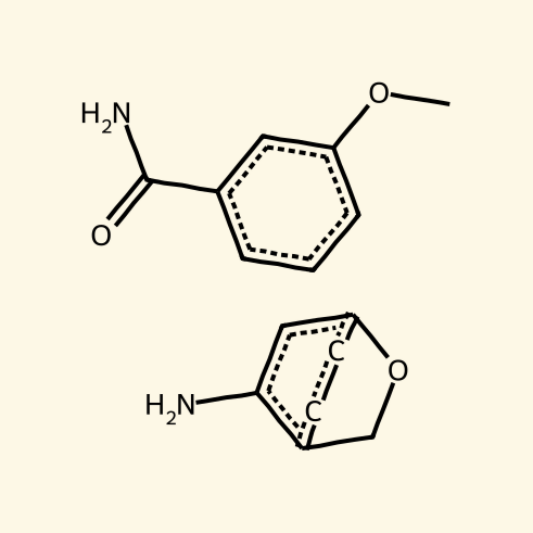 COc1cccc(C(N)=O)c1.Nc1cc2ccc1CO2